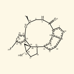 C[C@H]1CNC(=O)c2cnc3ccc(nn23)N2CC[C@H]3C[C@]32c2cc(F)cnc2O1